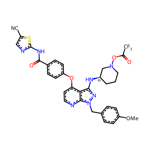 COc1ccc(Cn2nc(N[C@@H]3CCCN(OC(=O)C(F)(F)F)C3)c3c(Oc4ccc(C(=O)Nc5ncc(C#N)s5)cc4)ccnc32)cc1